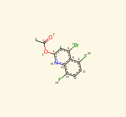 CC(=O)Oc1cc(Br)c2c(F)ccc(F)c2n1